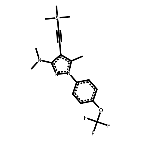 Cc1c(C#C[Si](C)(C)C)c(N(C)C)nn1-c1ccc(OC(F)(F)F)cc1